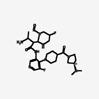 CC(N)C(C(=O)Nc1cncc(F)c1N1CCC(C(=O)N2CC[C@@H](N(C)C)C2)CC1)C1NCC(F)CN1N=O